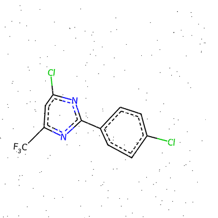 FC(F)(F)c1cc(Cl)nc(-c2ccc(Cl)cc2)n1